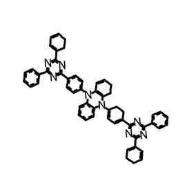 C1=CCCC(c2nc(-c3ccccc3)nc(-c3ccc(N4C5=C(CCC=C5)N(C5=CC=C(c6nc(C7=CCCC=C7)nc(-c7ccccc7)n6)CC5)c5ccccc54)cc3)n2)=C1